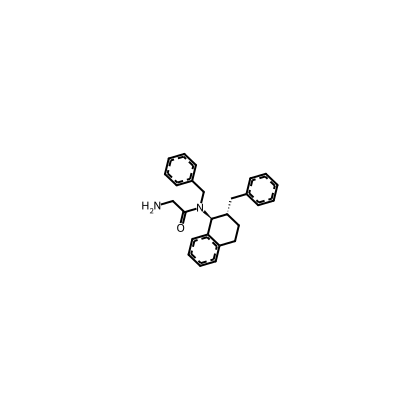 NCC(=O)N(Cc1ccccc1)[C@@H]1c2ccccc2CC[C@H]1Cc1ccccc1